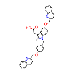 Cc1c(CC(=O)O)c2cc(OCc3ccc4ccccc4n3)ccc2n1Cc1ccc(OCc2ccc3ccccc3n2)cc1